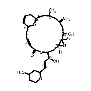 C=C1C[C@H](C)C[C@@H]2CC=C[C@@H](C/C=C\C(=O)OC([C@@H](O)/C=C/C3CC(C)CCO3)C[C@@H]3O[C@H]3[C@@H](O)C1)O2